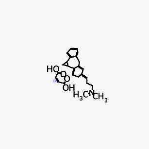 CN(C)CCC=C1C=C2Cc3ccccc3C3CC3C2=CC1.O=C(O)/C=C\C(=O)O